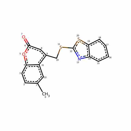 Cc1ccc2oc(=O)cc(CSc3nc4ccccc4s3)c2c1